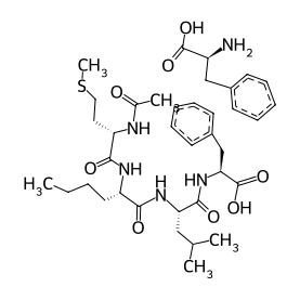 CCCC[C@H](NC(=O)[C@H](CCSC)NC(C)=O)C(=O)N[C@@H](CC(C)C)C(=O)N[C@@H](Cc1ccccc1)C(=O)O.N[C@@H](Cc1ccccc1)C(=O)O